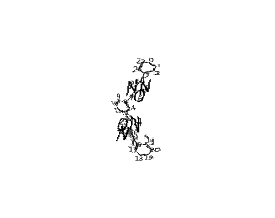 c1ccc(-c2noc(-c3cccc(-c4nc(-c5ccccc5)no4)c3)n2)cc1